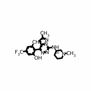 Cc1cc2c(-c3c(C)cc(C(F)(F)F)cc3O)nnc(N[C@@H]3CCCN(C)C3)n2n1